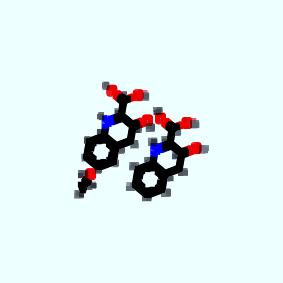 O=C([O-])C1=Nc2ccccc2CC1=O.O=C([O-])C1=Nc2ccccc2CC1=O.[O]=[V+2]